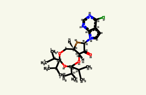 CC(C)[Si]1(C(C)C)OC[C@H]2S[C@@H](n3ccc4c(Cl)ncnc43)C(=O)[C@@H]2O[Si](C(C)C)(C(C)C)O1